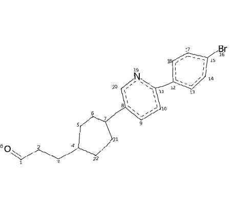 O=CCCC1CCC(c2ccc(-c3ccc(Br)cc3)nc2)CC1